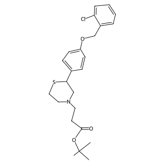 CC(C)(C)OC(=O)CCN1CCSC(c2ccc(OCc3ccccc3Cl)cc2)C1